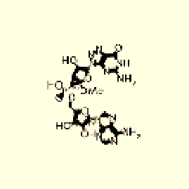 CO[C@@]12O[C@@H](n3nnc4c(=O)[nH]c(N)nc43)[C@@H](O)C1[C@H]2P(=O)(O)OC[C@H]1O[C@@H](n2cnc3c(N)ncnc32)[C@@H](O)[C@H]1O